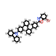 Brc1cccc2nc(-c3ccc(-c4ccccc4-c4ccccc4-c4ccc(-n5c6ccccc6c6ccccc65)cc4)cc3)oc12